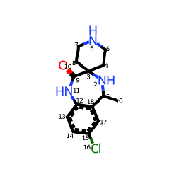 CC1NC2(CCNCC2)C(=O)Nc2ccc(Cl)cc21